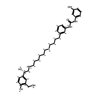 O=C(Nc1cccc(O)c1)Nc1cccc(CCCCOCCCCCCNC[C@@H](O)c2ccc(O)c(CO)c2)c1